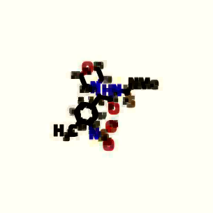 CNC(=S)NC(=O)C(c1ccc(C)c(N=S(=O)=O)c1)N1CCOCC1